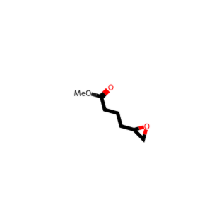 COC(=O)CCCC1CO1